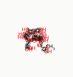 COc1cc(C=CC(=O)OC[C@H]2O[C@@H](O[C@H]3[C@H](Oc4cc5c(O[C@@H]6O[C@H](CO)[C@@H](O)[C@H](O)[C@H]6O)cc(O)cc5[o+]c4-c4ccc(O)c(O)c4)O[C@H](COC(=O)C=Cc4ccc(O)c(O)c4)[C@@H](O)[C@@H]3O)[C@H](O)[C@@H](O)[C@@H]2O)ccc1O